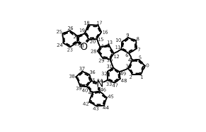 c1ccc2c(c1)-c1ccccc1-c1cc(-c3cccc4c3oc3ccccc34)ccc1-c1cc(-n3c4ccccc4c4ccccc43)ccc1-2